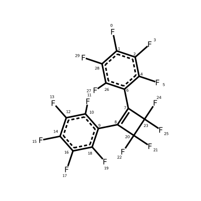 Fc1c(F)c(F)c(C2=C(c3c(F)c(F)c(F)c(F)c3F)C(F)(F)C2(F)F)c(F)c1F